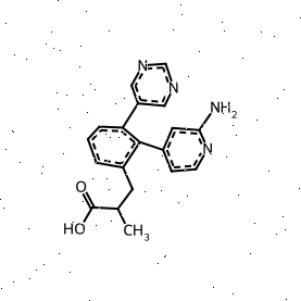 CC(Cc1cccc(-c2cncnc2)c1-c1ccnc(N)c1)C(=O)O